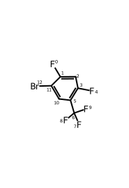 Fc1cc(F)c(C(F)(F)F)cc1Br